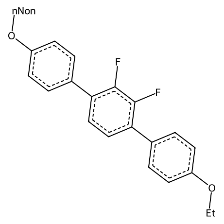 CCCCCCCCCOc1ccc(-c2ccc(-c3ccc(OCC)cc3)c(F)c2F)cc1